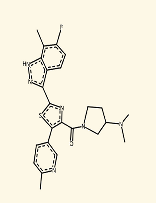 Cc1ccc(-c2sc(-c3n[nH]c4c(C)c(F)ccc34)nc2C(=O)N2CCC(N(C)C)C2)cn1